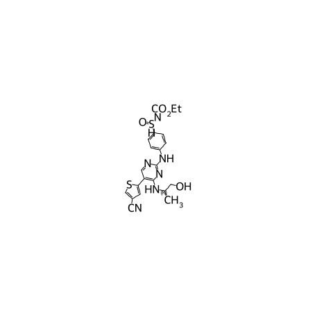 CCOC(=O)N=[SH](=O)c1ccc(Nc2ncc(-c3cc(C#N)cs3)c(N[C@H](C)CO)n2)cc1